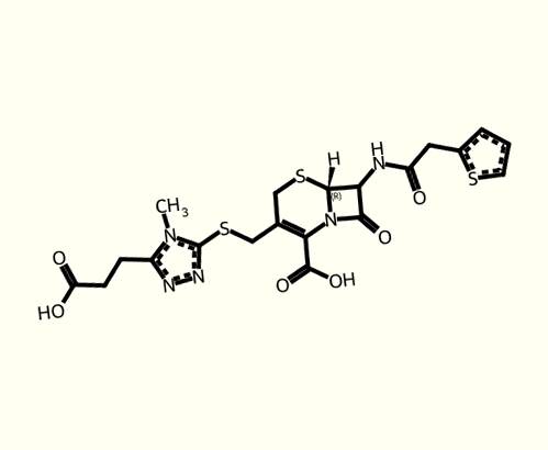 Cn1c(CCC(=O)O)nnc1SCC1=C(C(=O)O)N2C(=O)C(NC(=O)Cc3cccs3)[C@H]2SC1